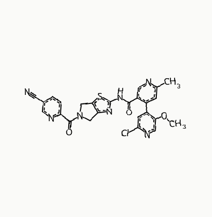 COc1cnc(Cl)cc1-c1cc(C)ncc1C(=O)Nc1nc2c(s1)CN(C(=O)c1ccc(C#N)cn1)C2